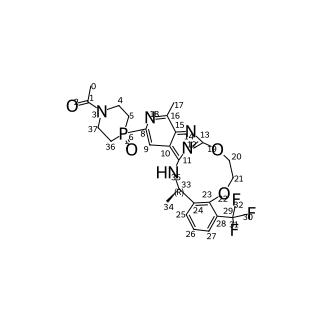 CC(=O)N1CCP(=O)(c2cc3c4nc(nc3c(C)n2)OCCOc2c(cccc2C(F)(F)F)[C@@H](C)N4)CC1